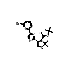 CC(C)(C)OC(=O)N1[C@H](c2ncc(-c3cccc(Br)n3)s2)COC1(C)C